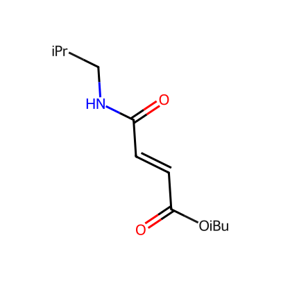 CC(C)CNC(=O)C=CC(=O)OCC(C)C